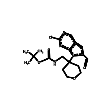 CC(C)(C)OC(=O)NCC1(n2c(C=O)cc3cnc(Cl)nc32)CCOCC1